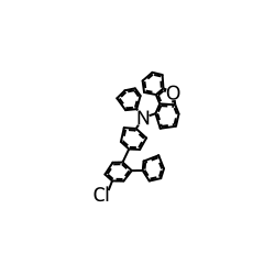 Clc1ccc(-c2ccc(N(c3ccccc3)c3cccc4oc5ccccc5c34)cc2)c(-c2ccccc2)c1